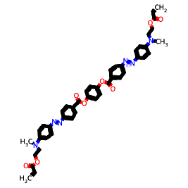 C=CC(=O)OCCN(C)c1ccc(/N=N/c2ccc(C(=O)Oc3ccc(OC(=O)c4ccc(/N=N/c5ccc(N(C)CCOC(=O)C=C)cc5)cc4)cc3)cc2)cc1